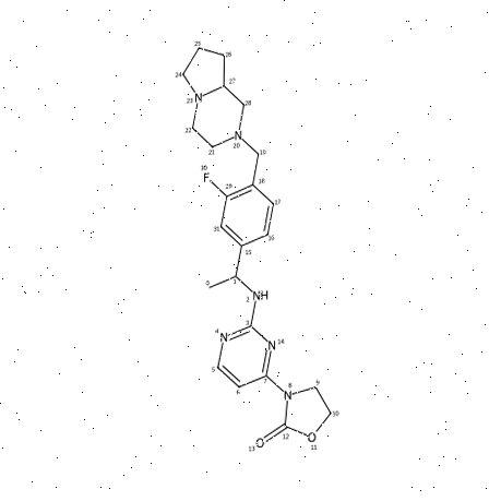 CC(Nc1nccc(N2CCOC2=O)n1)c1ccc(CN2CCN3CCCC3C2)c(F)c1